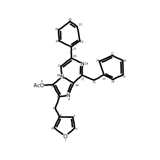 CC(=O)Oc1c(Cc2ccoc2)nc2c(Cc3ccccc3)nc(-c3ccccc3)cn12